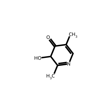 CC1=CN=C(C)C(O)C1=O